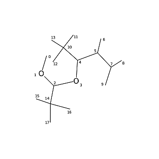 COC(OC(C(C)C(C)C)C(C)(C)C)C(C)(C)C